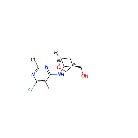 Cc1c(Cl)nc(Cl)nc1NC1[C@@H]2C[C@]1(CO)CO2